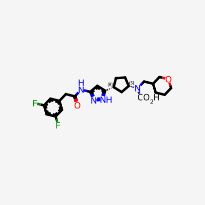 O=C(Cc1cc(F)cc(F)c1)Nc1cc([C@@H]2CC[C@H](N(CC3CCCOC3)C(=O)O)C2)[nH]n1